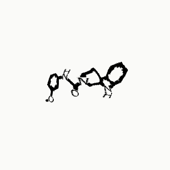 COc1cccc(NC(=O)N2CCc3c([nH]c4ccccc34)C2)c1